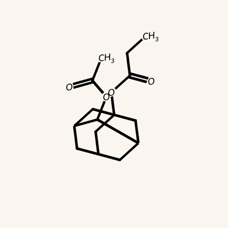 CCC(=O)OC12CC3CC(C1)C(OC(C)=O)C(C3)C2